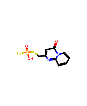 O=c1cc(CSP(=O)(O)S)nc2ccccn12